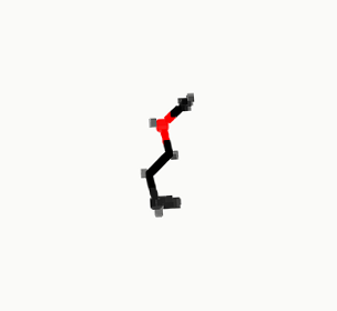 COCC[O][Zr]